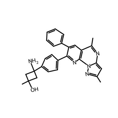 Cc1cc2nc(C)c3cc(-c4ccccc4)c(-c4ccc(C5(N)CC(C)(O)C5)cc4)nc3n2n1